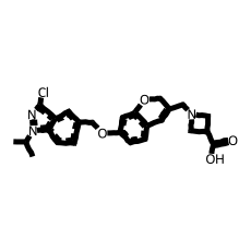 CC(C)n1nc(Cl)c2cc(COc3ccc4c(c3)OCC(CN3CC(C(=O)O)C3)=C4)ccc21